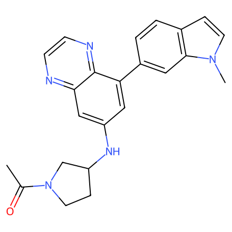 CC(=O)N1CCC(Nc2cc(-c3ccc4ccn(C)c4c3)c3nccnc3c2)C1